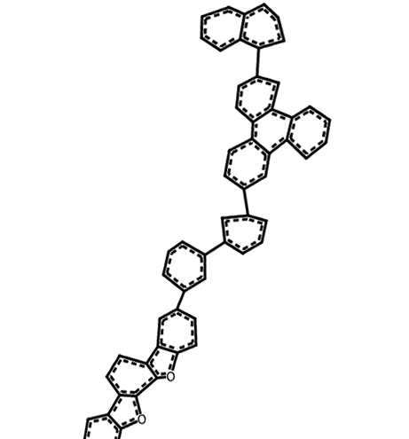 c1cc(-c2cccc(-c3ccc4c5ccc(-c6cccc7ccccc67)cc5c5ccccc5c4c3)c2)cc(-c2ccc3oc4c(ccc5c6ccccc6oc54)c3c2)c1